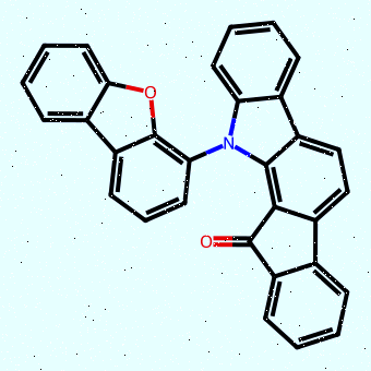 O=C1c2ccccc2-c2ccc3c4ccccc4n(-c4cccc5c4oc4ccccc45)c3c21